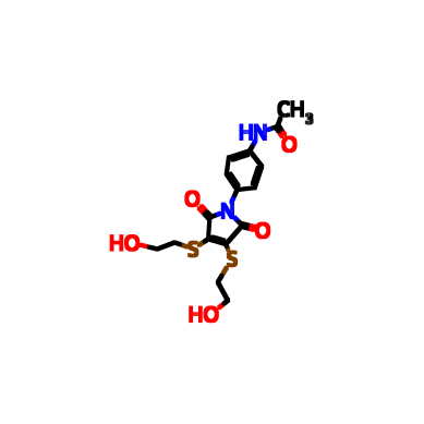 CC(=O)Nc1ccc(N2C(=O)C(SCCO)=C(SCCO)C2=O)cc1